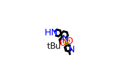 Cc1ccc(S(=O)(=O)N2CCCC3(CCNCC3)C2CCC(C)(C)C)cn1